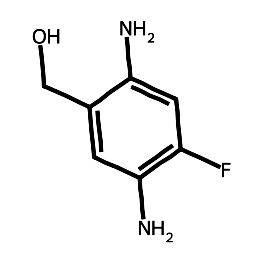 Nc1cc(CO)c(N)cc1F